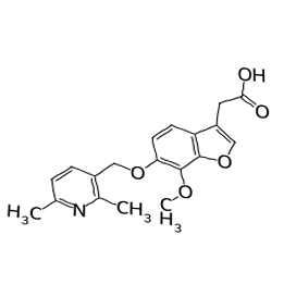 COc1c(OCc2ccc(C)nc2C)ccc2c(CC(=O)O)coc12